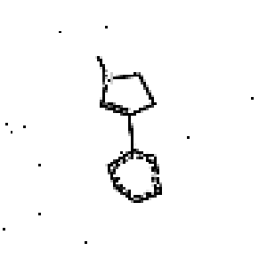 CN1C=C(c2ccccc2)CC1